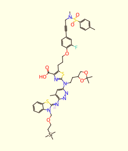 Cc1ccc(S(=O)(=O)N(C)CC#Cc2ccc(OCCCc3sc(N(CCC4COC(C)(C)O4)c4cc(C)c(/N=c5\sc6ccccc6n5COCC[Si](C)(C)C)nn4)nc3C(=O)O)c(F)c2)cc1